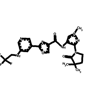 Cn1cc(NC(=O)c2coc(-c3cncc(NCC(F)(F)F)c3)n2)c(N2CCC(C)(C)C2=O)n1